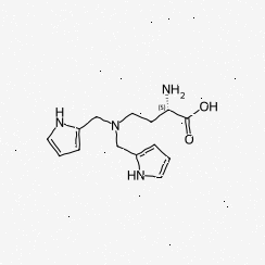 N[C@@H](CCN(Cc1ccc[nH]1)Cc1ccc[nH]1)C(=O)O